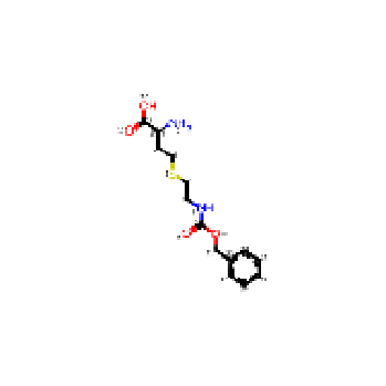 N[C@@H](CCSCCNC(=O)OCc1ccccc1)C(=O)O